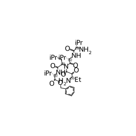 CC[C@H](N)C(=O)C(=O)N(C(=O)[C@@H](NC(=O)[C@@H](N)C(C)C)C(C)C)[C@H](CC(C)C)C(=O)N[C@H](C(=O)OCc1ccccc1)C(C)C